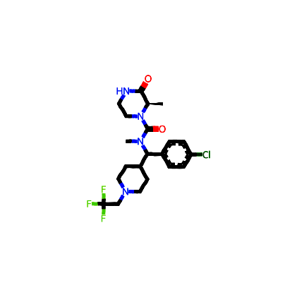 C[C@@H]1C(=O)NCCN1C(=O)N(C)C(c1ccc(Cl)cc1)C1CCN(CC(F)(F)F)CC1